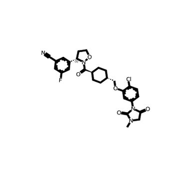 CN1CC(=O)N(c2ccc(Cl)c(OC[C@H]3CC[C@H](C(=O)N4OCC[C@H]4c4cc(F)cc(C#N)c4)CC3)c2)C1=O